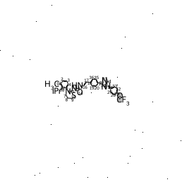 Cc1cccc(N2CCCS/C2=N\C(=O)N/C=C/c2ccc(-c3ncn(-c4ccc(OC(F)(F)F)cc4)n3)cc2)c1C(C)C